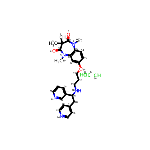 CCN1C(=O)C(C)(C)C(=O)N(C)c2cc(OCCCNC(Cc3ccncc3)c3cccnc3)ccc21.Cl.Cl.Cl